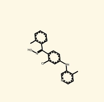 Cc1ccncc1Nc1ccc(C(=NO)c2ccccc2C)c(Cl)c1